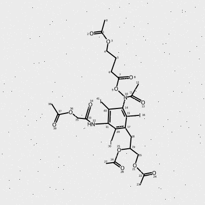 CC(=O)OCCCC(=O)ON(C(C)=O)c1c(I)c(CC(COC(C)=O)OC(C)=O)c(I)c(NC(=O)COC(C)=O)c1I